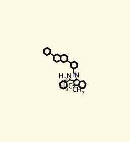 CC1(C)C(C(N)c2ccccc2)=C(/N=C/c2cccc(-c3ccc4cc(-c5ccccc5)ccc4c3)c2)c2ccccc21